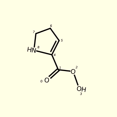 O=C(OO)C1=CCCN1